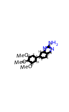 COc1cc(-c2ccc3cnc(N)nc3c2)cc(OC)c1OC